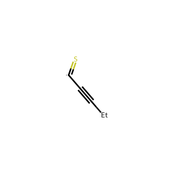 CCC#C[C]=S